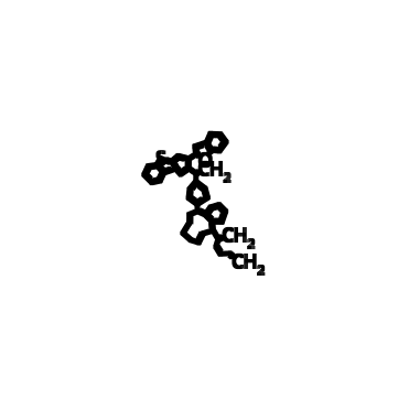 C=C/C=C\C(=C)C1=c2\cccc\c2=C(c2ccc(C(=C)c3cc4c(cc3-c3cc5ccccc5o3)sc3ccccc34)cc2)\C=C\CC\C=C\1